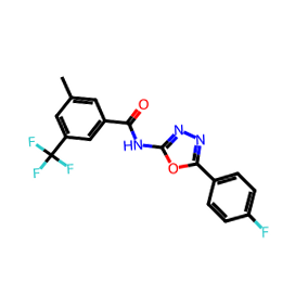 Cc1cc(C(=O)Nc2nnc(-c3ccc(F)cc3)o2)cc(C(F)(F)F)c1